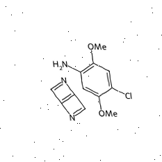 COc1cc(Cl)c(OC)cc1N.c1nc2cnc1=2